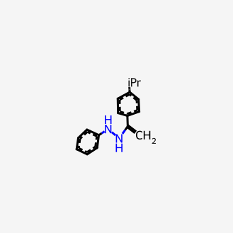 C=C(NNc1ccccc1)c1ccc(C(C)C)cc1